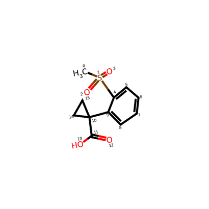 CS(=O)(=O)c1ccccc1C1(C(=O)O)CC1